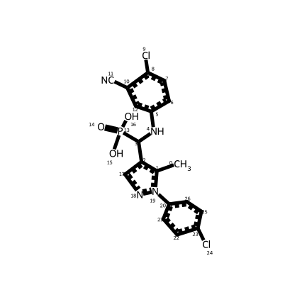 Cc1c(C(Nc2ccc(Cl)c(C#N)c2)P(=O)(O)O)cnn1-c1ccc(Cl)cc1